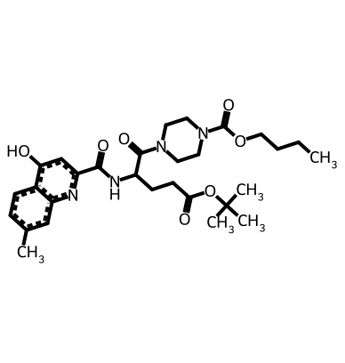 CCCCOC(=O)N1CCN(C(=O)C(CCC(=O)OC(C)(C)C)NC(=O)c2cc(O)c3ccc(C)cc3n2)CC1